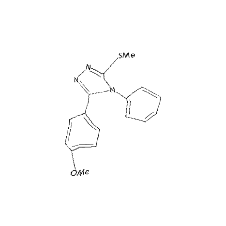 [CH2]Sc1nnc(-c2ccc(OC)cc2)n1-c1ccccc1